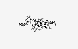 COc1cccc(OC)c1-n1c(NSc2cccc(CO)c2)nnc1-c1ccc(C)o1